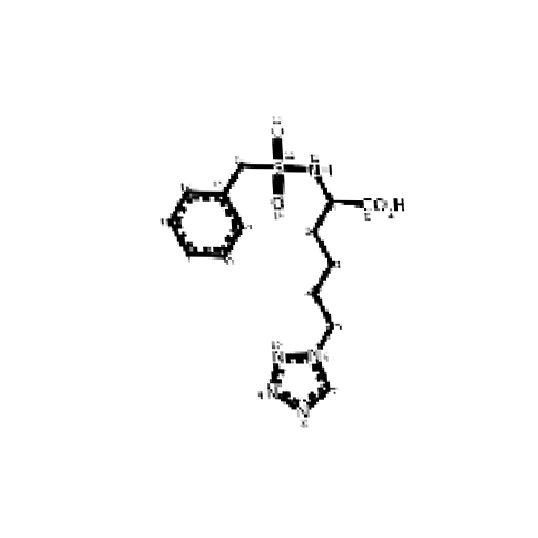 O=C(O)[C@@H](CCCCn1cnnn1)NS(=O)(=O)Cc1ccccc1